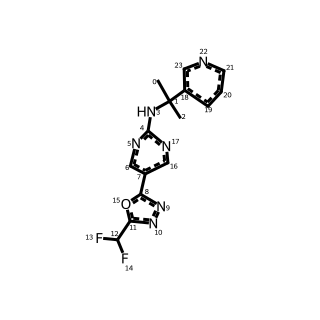 CC(C)(Nc1ncc(-c2nnc(C(F)F)o2)cn1)c1cccnc1